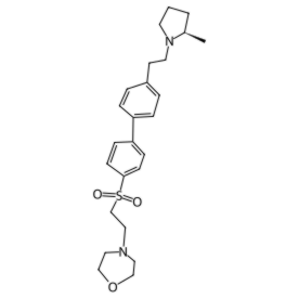 C[C@@H]1CCCN1CCc1ccc(-c2ccc(S(=O)(=O)CCN3CCOCC3)cc2)cc1